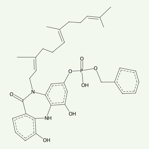 CC(C)=CCC/C(C)=C/CC/C(C)=C/CN1C(=O)c2cccc(O)c2Nc2c(O)cc(OP(=O)(O)OCc3ccccc3)cc21